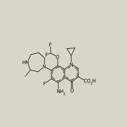 CC1CN(c2c(F)c(N)c3c(=O)c(C(=O)O)cn(C4CC4)c3c2OC(F)F)CCCN1